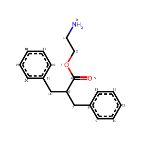 NCCOC(=O)C(Cc1ccccc1)Cc1ccccc1